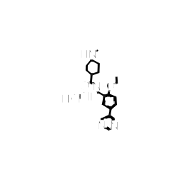 CCOc1ccc(-c2cncnc2)cc1CNC(=O)C1CCC(NC)CC1.Cl.Cl